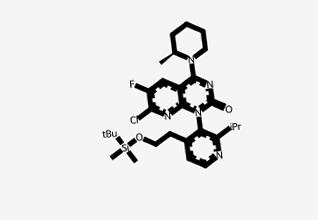 CC(C)c1nccc(CCO[Si](C)(C)C(C)(C)C)c1-n1c(=O)nc(N2CCCC[C@@H]2C)c2cc(F)c(Cl)nc21